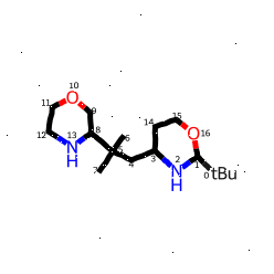 CC(C)(C)C1NC(CC(C)(C)C2COCCN2)CCO1